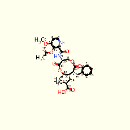 COc1ccnc(C(=O)N[C@H]2COC(=O)[C@H](Cc3ccccc3)[C@@H](CC(C)C(=O)O)[C@H](C)OC2=O)c1OC(C)=O